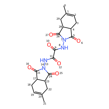 CC1=CCC2C(=O)N(NC(=O)C(=O)NN3C(=O)C4CC=C(C)CC4C3=O)C(=O)C2C1